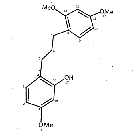 COc1ccc(CCCc2ccc(OC)cc2OC)c(O)c1